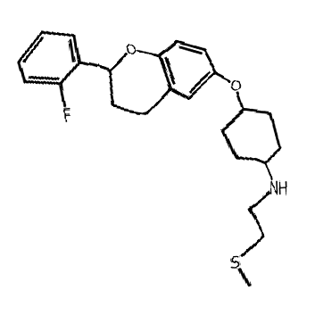 CSCCNC1CCC(Oc2ccc3c(c2)CCC(c2ccccc2F)O3)CC1